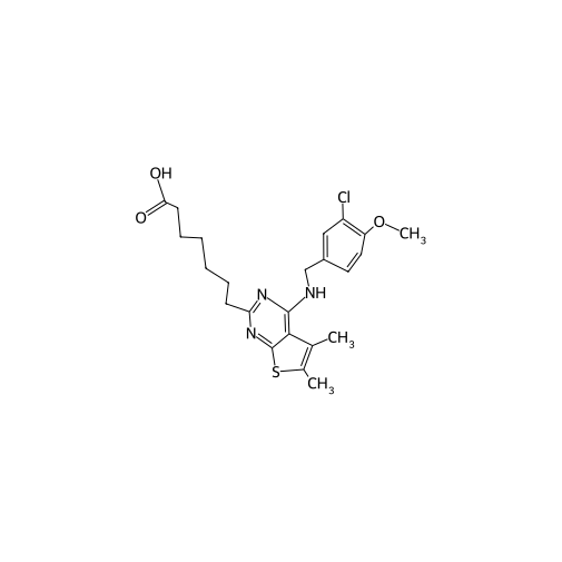 COc1ccc(CNc2nc(CCCCCCC(=O)O)nc3sc(C)c(C)c23)cc1Cl